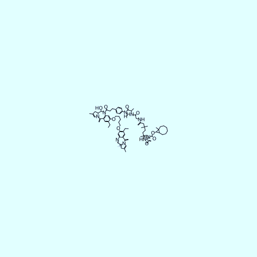 C=C(CC(C)(C)CCC(C)(C)NS(=C)(=O)NC(=O)OC1C2CCCCCCC21C)NCC(=O)NC(C)C(=O)Nc1ccc(CCC(=O)N2c3cc(OCCCCCOc4cc5c(cc4CC)C(=C)N4C=C(C)C[C@@]4(C)C=N5)c(CC)cc3C(=C)N3C=C(C)CC3C2O)cc1